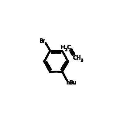 C=C.CCCCc1ccc(Br)cc1